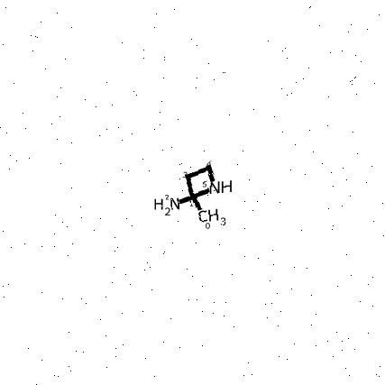 CC1(N)CCN1